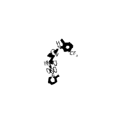 Cc1ccc(C(F)(F)F)cc1Nc1nc(C(=O)NS(=O)(=O)N2CCCCC2C)co1